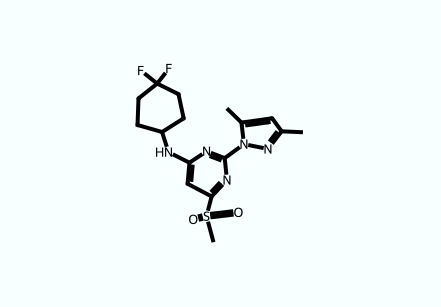 Cc1cc(C)n(-c2nc(NC3CCC(F)(F)CC3)cc(S(C)(=O)=O)n2)n1